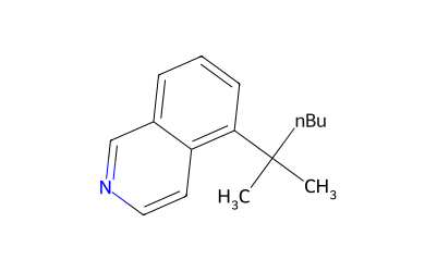 CCCCC(C)(C)c1cccc2cnccc12